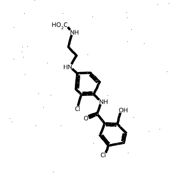 O=C(O)NCCNc1ccc(NC(=O)c2cc(Cl)ccc2O)c(Cl)c1